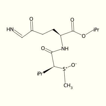 CC(C)OC(=O)[C@H](CCC(=O)C=N)NC(=O)[C@H](C(C)C)[S+](C)[O-]